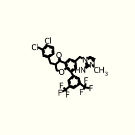 Cn1ccn(Cc2cc3c(c(-c4cc(C(F)(F)F)cc(C(F)(F)F)c4)c2)OCC(Cc2ccc(Cl)c(Cl)c2)C3=O)c1=N